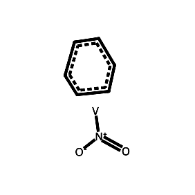 O=[N+]([O-])[V].c1ccccc1